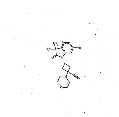 CC1(C)C(=O)N([C@H]2C[C@@](C#N)(N3CCOCC3)C2)c2cc(Br)cnc21